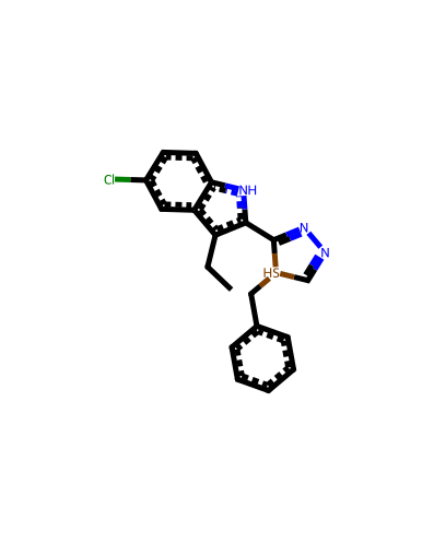 CCc1c(C2=NN=C[SH]2Cc2ccccc2)[nH]c2ccc(Cl)cc12